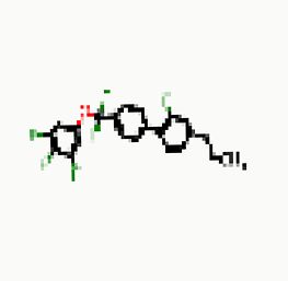 CCCc1ccc(-c2ccc(C(F)(F)Oc3cc(F)c(F)c(F)c3)cc2)c(F)c1